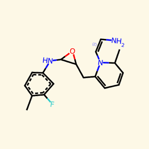 Cc1ccc(NC2OC2CC2=CC=CC(C)N2/C=C\N)cc1F